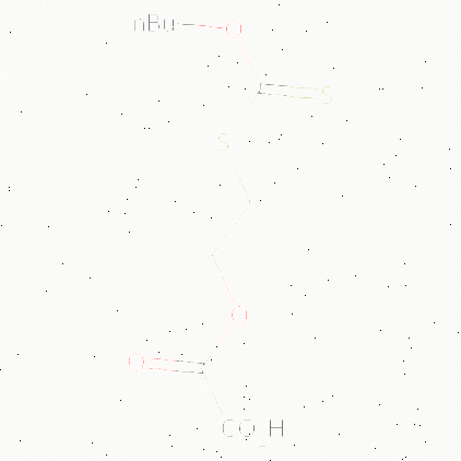 CCCCOC(=S)SCCOC(=O)C(=O)O